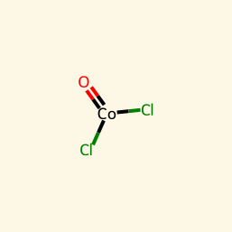 [O]=[Co]([Cl])[Cl]